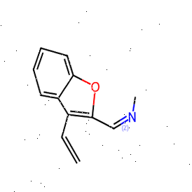 C=Cc1c(/C=N\C)oc2ccccc12